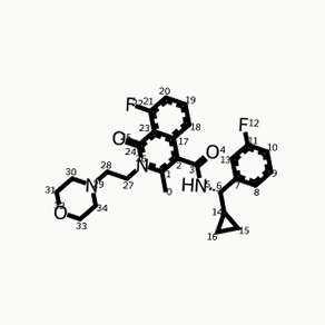 Cc1c(C(=O)N[C@H](c2cccc(F)c2)C2CC2)c2cccc(F)c2c(=O)n1CCN1CCOCC1